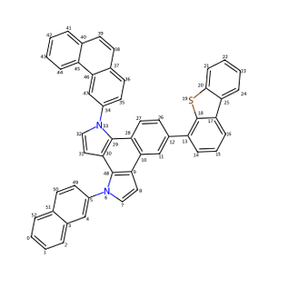 c1ccc2cc(-n3ccc4c5cc(-c6cccc7c6sc6ccccc67)ccc5c5c(ccn5-c5ccc6ccc7ccccc7c6c5)c43)ccc2c1